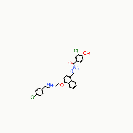 O=C(N/N=C/c1ccc(OCCNCCc2ccc(Cl)cc2)c2ccccc12)c1ccc(O)c(Cl)c1